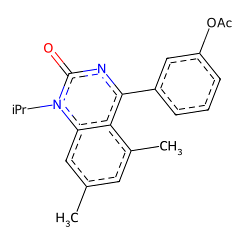 CC(=O)Oc1cccc(-c2nc(=O)n(C(C)C)c3cc(C)cc(C)c23)c1